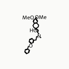 COc1cc2c(cc1OC)CCC(O)(/C=C/CN(C)CCc1cccc(OCc3ccccc3)c1)CC2